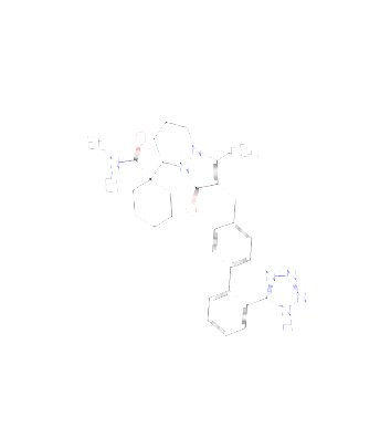 CCCCc1c(Cc2ccc(-c3ccccc3-c3nnn[nH]3)cc2)c(=O)n2n1CCCC2C1(C(=O)N(CC)CC)CCCCC1